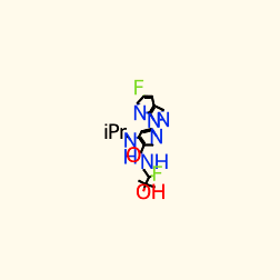 CC(C)Nc1cc(-n2ncc3cc(F)cnc32)ncc1C(=O)NCC(F)C(C)(C)O